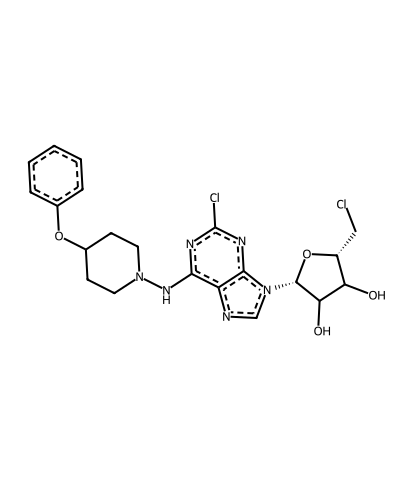 OC1C(O)[C@@H](CCl)O[C@H]1n1cnc2c(NN3CCC(Oc4ccccc4)CC3)nc(Cl)nc21